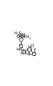 CNC(=O)C1(NC)CCC(c2ccc(Nc3ncc4c(n3)C3=CN=C(Cl)C=C(c5c(F)cccc5F)C3=CC4)cc2)CC1